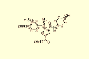 CNC(=O)c1cc(C(=O)N[C@H]2CC[C@H](O)CC2)c([C@@H](C)c2ccc(OC)c(C)c2)o1